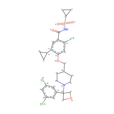 O=C(NS(=O)(=O)C1CC1)c1cc(C2CC2)c(OCC2CCN(C3(c4cc(Cl)cc(Cl)c4)COC3)CC2)cc1F